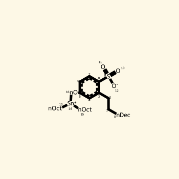 CCCCCCCCCCCCc1ccccc1S(=O)(=O)[O-].CCCCCCC[CH2][Sn+]([CH2]CCCCCCC)[CH2]CCCCCCC